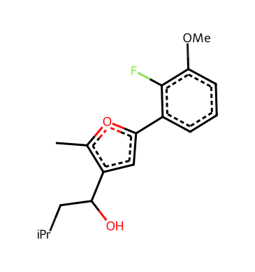 COc1cccc(-c2cc(C(O)CC(C)C)c(C)o2)c1F